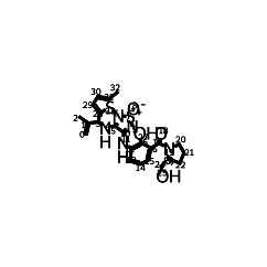 C=C(C)C(Nc1n[s+]([O-])nc1Nc1cccc(C(=O)N2CCC[C@H]2CO)c1O)c1ccc(C)s1